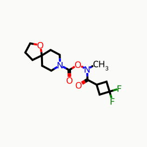 CN(OC(=O)N1CCC2(CCCO2)CC1)C(=O)C1CC(F)(F)C1